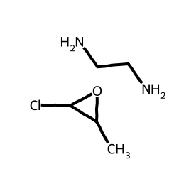 CC1OC1Cl.NCCN